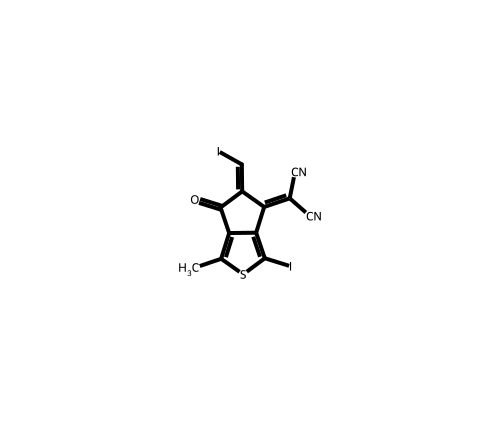 Cc1sc(I)c2c1C(=O)/C(=C\I)C2=C(C#N)C#N